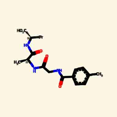 Cc1ccc(C(=O)NCC(=O)N[C@@H](C)C(=O)N[C@H](C(=O)O)C(C)C)cc1